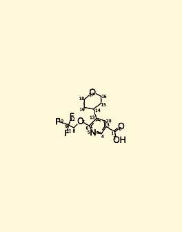 O=C(O)c1cnc(OCC(F)(F)F)c(C2CCOCC2)c1